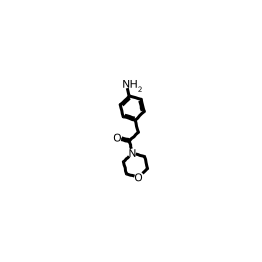 Nc1ccc(CC(=O)N2CCOCC2)cc1